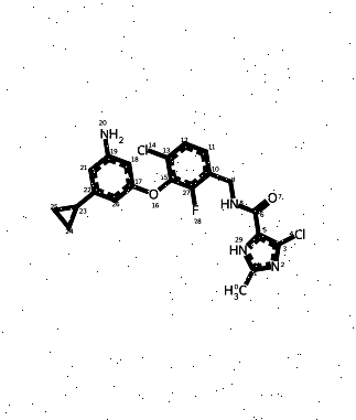 Cc1nc(Cl)c(C(=O)NCc2ccc(Cl)c(Oc3cc(N)cc(C4CC4)c3)c2F)[nH]1